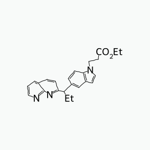 CCOC(=O)CCn1ccc2cc(C(CC)c3ccc4cccnc4n3)ccc21